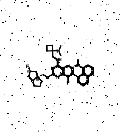 C=C(C)c1cccc2cccc(-c3ncc4c(NCC5(N(C)C)CCC5)nc(OC[C@]56CCCN5C[C@@H](F)C6)nc4c3F)c12